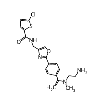 C=C(c1ccc(-c2nc(CNC(=O)c3ccc(Cl)s3)co2)cc1)N(C)CCN